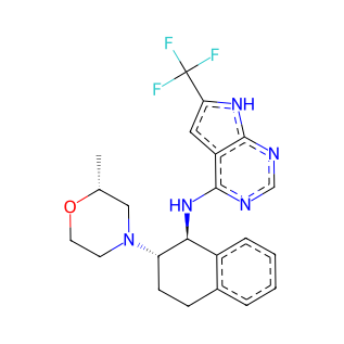 C[C@@H]1CN([C@H]2CCc3ccccc3[C@@H]2Nc2ncnc3[nH]c(C(F)(F)F)cc23)CCO1